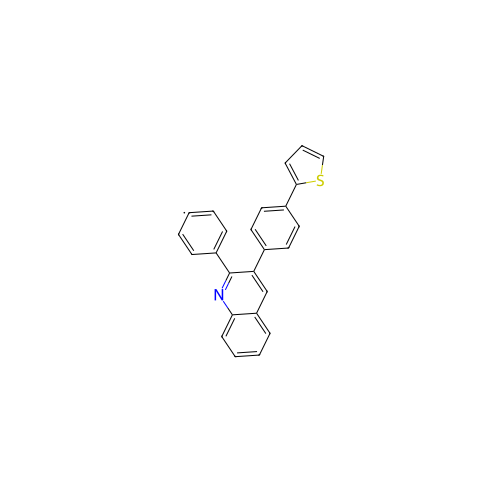 [c]1ccc(-c2nc3ccccc3cc2-c2ccc(-c3cccs3)cc2)cc1